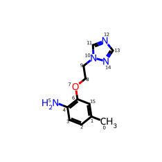 Cc1ccc(N)c(OCCn2cncn2)c1